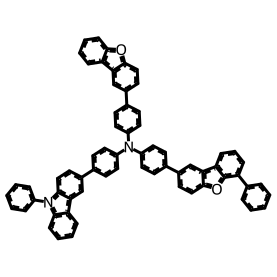 c1ccc(-c2cccc3c2oc2ccc(-c4ccc(N(c5ccc(-c6ccc7oc8ccccc8c7c6)cc5)c5ccc(-c6ccc7c(c6)c6ccccc6n7-c6ccccc6)cc5)cc4)cc23)cc1